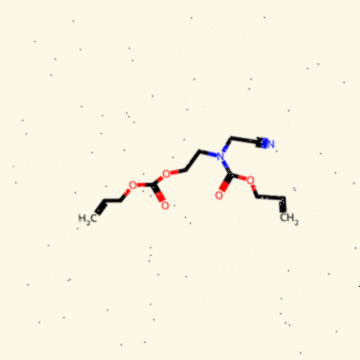 C=CCOC(=O)OCCN(CC#N)C(=O)OCC=C